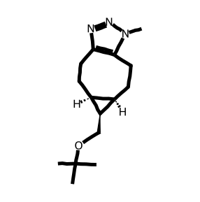 Cn1nnc2c1CC[C@@H]1[C@H](CC2)[C@@H]1COC(C)(C)C